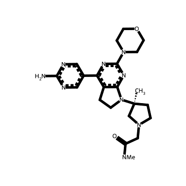 CNC(=O)CN1CC[C@](C)(N2CCc3c(-c4cnc(N)nc4)nc(N4CCOCC4)nc32)C1